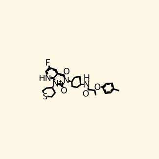 Cc1ccc(OC(C)C(=O)NC2CCC(n3c(=O)c4cc(F)c[nH]c-4[n+](C4CCSCC4)c3=O)CC2)cc1